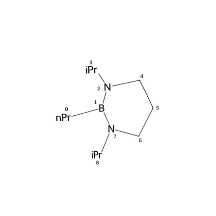 CCCB1N(C(C)C)CCCN1C(C)C